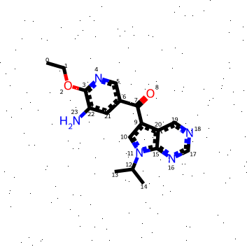 CCOc1ncc(C(=O)c2cn(C(C)C)c3ncncc23)cc1N